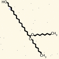 CCCCCCCCOC(CCCCCCCCCCCC/C=C/CCO)OCCCCCCCC